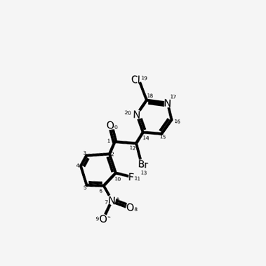 O=C(c1cccc([N+](=O)[O-])c1F)C(Br)c1ccnc(Cl)n1